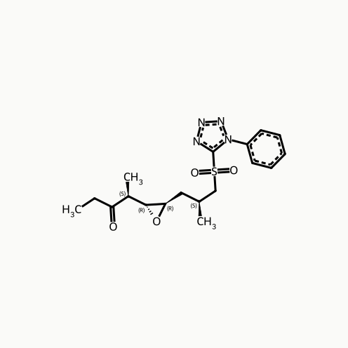 CCC(=O)[C@@H](C)[C@H]1O[C@@H]1C[C@H](C)CS(=O)(=O)c1nnnn1-c1ccccc1